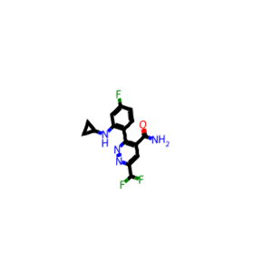 NC(=O)c1cc(C(F)F)nnc1-c1ccc(F)cc1NC1CC1